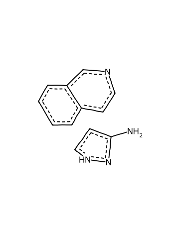 Nc1cc[nH]n1.c1ccc2cnccc2c1